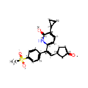 CS(=O)(=O)c1ccc(C(=C[C@H]2CCC(=O)C2)c2ccc(C3CC3)c(=O)[nH]2)cc1